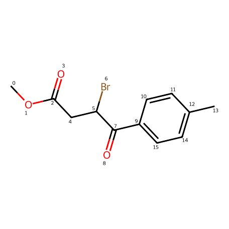 COC(=O)CC(Br)C(=O)c1ccc(C)cc1